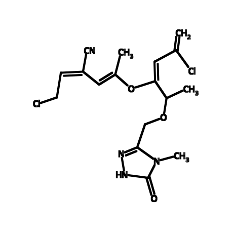 C=C(Cl)/C=C(/O/C(C)=C/C(C#N)=C\CCl)C(C)OCc1n[nH]c(=O)n1C